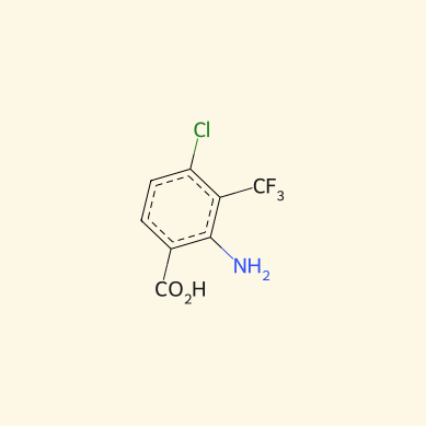 Nc1c(C(=O)O)ccc(Cl)c1C(F)(F)F